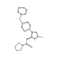 Cc1cn(-c2ccc(Cc3ccccc3)cc2)c(=NC(=O)N2CCCC2)s1